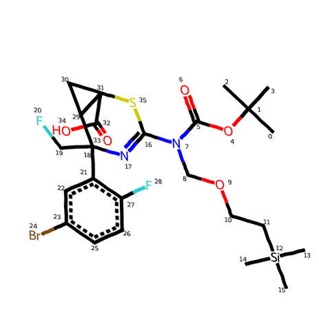 CC(C)(C)OC(=O)N(COCC[Si](C)(C)C)C1=NC(CF)(c2cc(Br)ccc2F)C2CC2(C(=O)O)S1